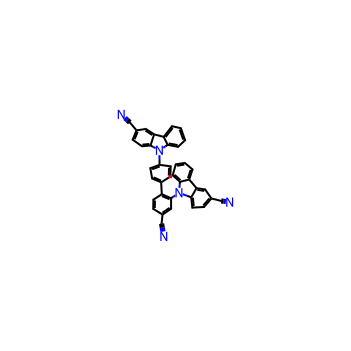 N#Cc1ccc(-c2ccc(-n3c4ccccc4c4cc(C#N)ccc43)cc2)c(-n2c3ccccc3c3cc(C#N)ccc32)c1